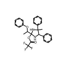 CC(Oc1ccccc1)C1(OC(=O)C(F)(F)F)NC(c2ccccc2)C(C)(c2ccccc2)N1